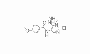 COc1ccc(C(=O)Nc2cnc(Cl)nc2NN)cc1